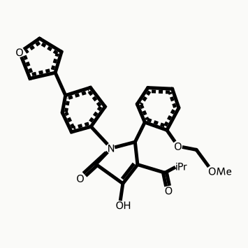 COCOc1ccccc1C1C(C(=O)C(C)C)=C(O)C(=O)N1c1ccc(-c2ccoc2)cc1